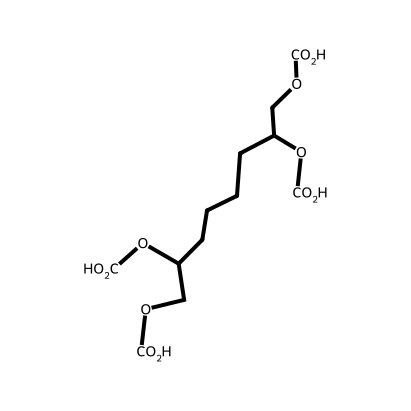 O=C(O)OCC(CCCCC(COC(=O)O)OC(=O)O)OC(=O)O